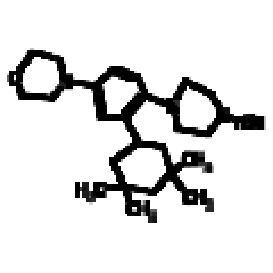 CCCCN1CCN(c2ccc(N3CCOCC3)cc2C2CC(C)(C)CC(C)(C)C2)CC1